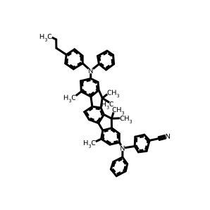 CCCc1ccc(N(c2ccccc2)c2cc(C)c3c(c2)C(C)(C)c2c-3ccc3c2C(C)(C)c2cc(N(c4ccccc4)c4ccc(C#N)cc4)cc(C)c2-3)cc1